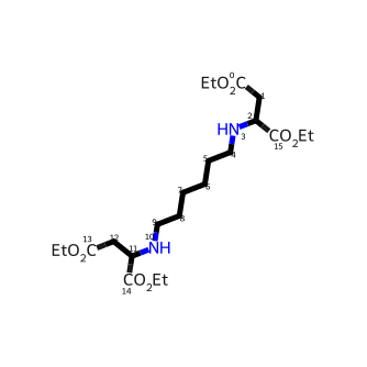 CCOC(=O)CC(NCCCCCCNC(CC(=O)OCC)C(=O)OCC)C(=O)OCC